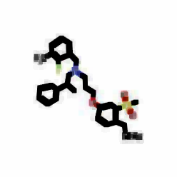 CC(=O)NCc1ccc(OCCCN(Cc2cccc(C(F)(F)F)c2F)CC(C)c2ccccc2)cc1S(C)(=O)=O